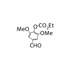 CCOC(=O)Oc1c(OC)cc(C=O)cc1OC